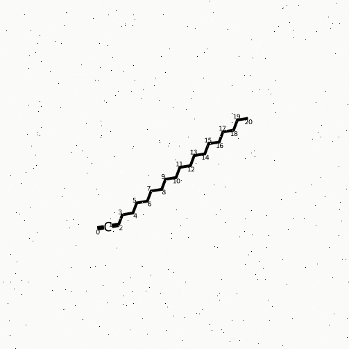 C=C=CCCCCCCCCCCCCCCCCCC